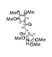 COC1=C(OC)NC(OC)(C(=O)CCC(=O)c2cc(OC)c(OC)c(OC)c2)C=C1